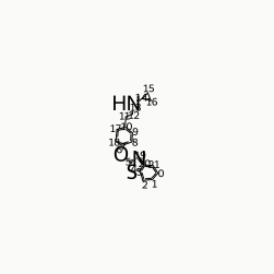 c1ccc2sc(Oc3ccc(CCNC4CC4)cc3)nc2c1